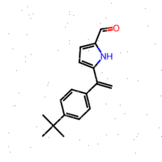 C=C(c1ccc(C(C)(C)C)cc1)c1ccc(C=O)[nH]1